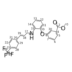 COC(=O)c1cccc(Oc2ccccc2NC/C=C/c2ccc(C(F)(F)F)cc2)c1